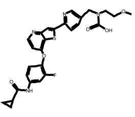 COCCN(Cc1ccc(-c2cc3nccc(Oc4ccc(NC(=O)C5CC5)cc4F)c3s2)nc1)C(=O)O